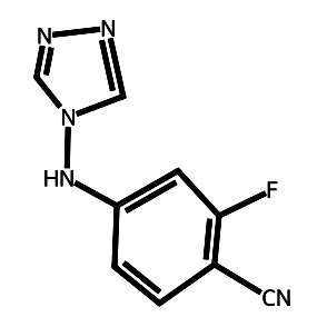 N#Cc1ccc(Nn2cnnc2)cc1F